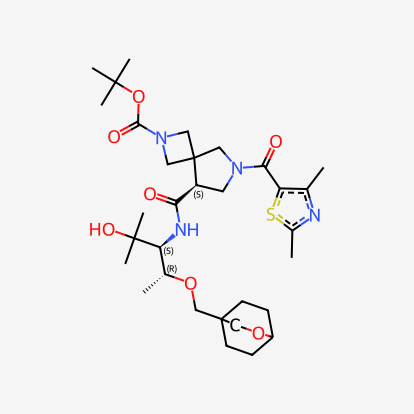 Cc1nc(C)c(C(=O)N2C[C@@H](C(=O)N[C@@H]([C@@H](C)OCC34CCC(CC3)OC4)C(C)(C)O)C3(CN(C(=O)OC(C)(C)C)C3)C2)s1